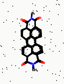 CN1C(=O)c2ccc3c4c(c5c6c7c(ccc63)C(=O)N(C)C(=O)C7C=C5)C=CC(C1=O)c24